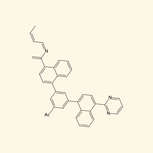 C=C(/N=C\C=C/C)c1ccc(-c2cc(C(C)=O)cc(-c3ccc(-c4ncccn4)c4ccccc34)c2)c2ccccc12